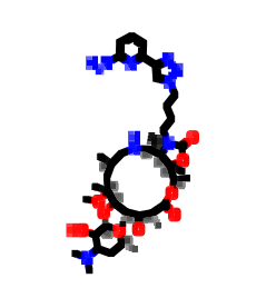 CO[C@]1(C)C[C@@H](C)CN[C@H](C)[C@H]2N(CCCCn3cc(-c4cccc(N)n4)nn3)C(=O)O[C@]2(C)[C@@H](C)OC(=O)[C@H](C)C(=O)[C@H](C)[C@H]1O[C@@H]1O[C@H](C)CC(N(C)C)C1O